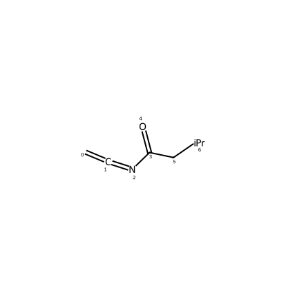 C=C=NC(=O)CC(C)C